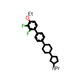 CCCC1CCC(C2CCC(c3ccc(-c4ccc(OCC)c(F)c4F)cc3)CC2)C1